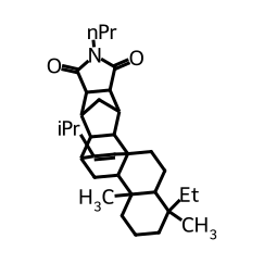 CCCN1C(=O)C2C3CC(C2C1=O)C1C3C2CC3C4(C)CCCC(C)(CC)C4CCC13C=C2C(C)C